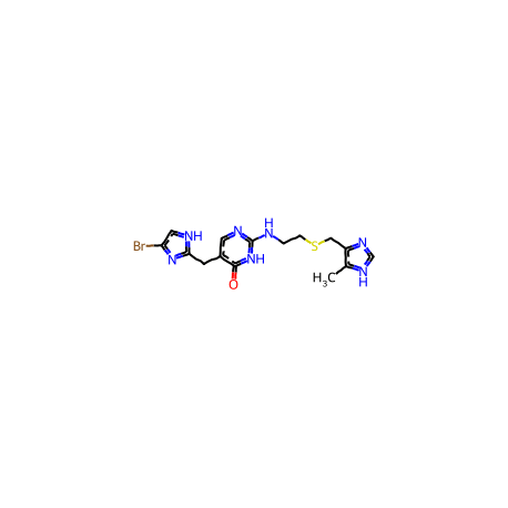 Cc1[nH]cnc1CSCCNc1ncc(Cc2nc(Br)c[nH]2)c(=O)[nH]1